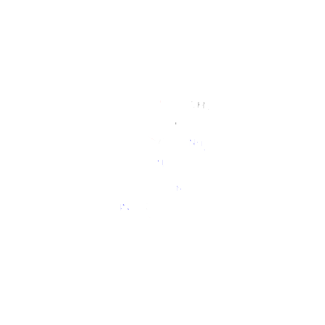 C[C@@H](O)[C@H](N)C(=O)N1C=NCC2(CNC2=O)C1